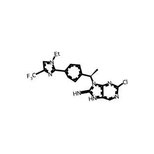 CCn1cc(C(F)(F)F)nc1-c1ccc([C@@H](C)n2c(=N)[nH]c3cnc(Cl)nc32)cc1